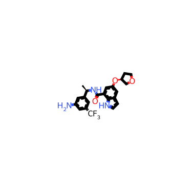 C[C@@H](NC(=O)c1cc(O[C@H]2CCOC2)cc2cc[nH]c12)c1cc(N)cc(C(F)(F)F)c1